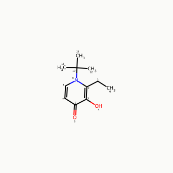 CCc1c(O)c(=O)ccn1C(C)(C)C